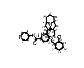 O=C(Nc1ccncc1)c1cccc(N2CCC3CCCC(C2)N3C2CCN(Cc3ccccc3Cl)CC2)n1